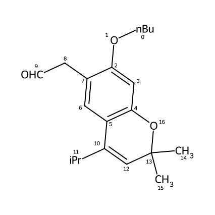 CCCCOc1cc2c(cc1CC=O)C(C(C)C)=CC(C)(C)O2